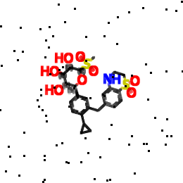 CS(=O)(=O)[C@H]1O[C@@H](c2ccc(C3CC3)c(Cc3ccc4c(c3)NCCS4(=O)=O)c2)[C@H](O)[C@@H](O)[C@@H]1O